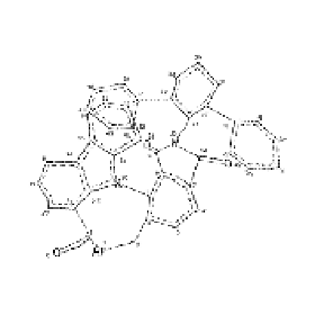 O=C1PCc2ccc3c(c2-n2c4ccccc4c4cccc1c42)C(=O)N(c1c(-c2ccccc2)cccc1-c1ccccc1)C3=O